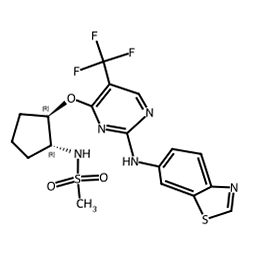 CS(=O)(=O)N[C@@H]1CCC[C@H]1Oc1nc(Nc2ccc3ncsc3c2)ncc1C(F)(F)F